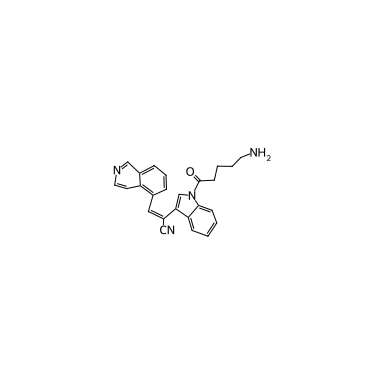 N#CC(=Cc1cccc2cnccc12)c1cn(C(=O)CCCCN)c2ccccc12